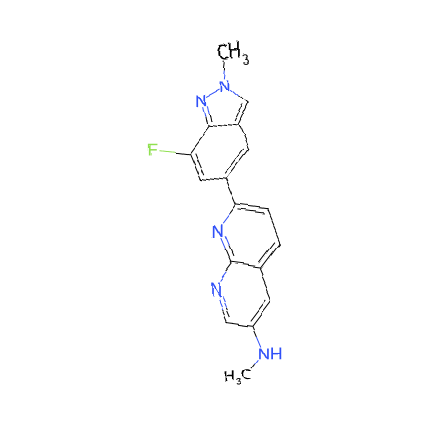 CNc1cnc2nc(-c3cc(F)c4nn(C)cc4c3)ccc2c1